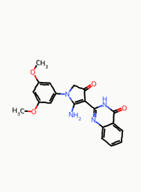 COc1cc(OC)cc(N2CC(=O)C(c3nc4ccccc4c(=O)[nH]3)=C2N)c1